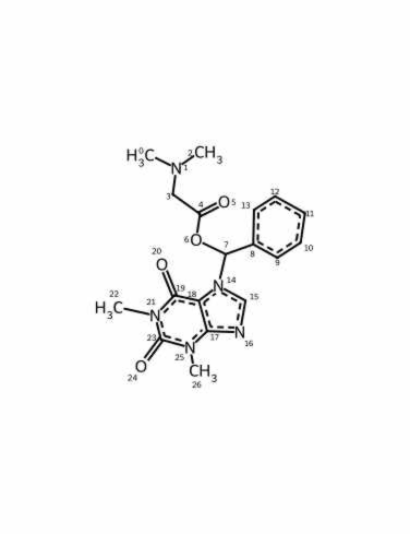 CN(C)CC(=O)OC(c1ccccc1)n1cnc2c1c(=O)n(C)c(=O)n2C